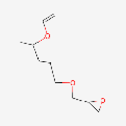 C=COC(C)CCCOCC1CO1